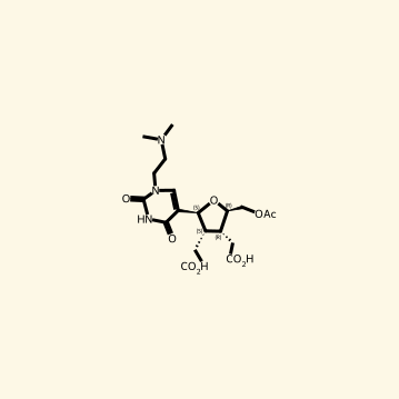 CC(=O)OC[C@@H]1O[C@H](c2cn(CCN(C)C)c(=O)[nH]c2=O)[C@@H](CC(=O)O)[C@H]1CC(=O)O